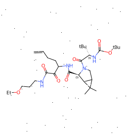 C=CCCC(NC(=O)[C@@H]1C2C(CN1C(=O)[C@@H](NC(=O)OC(C)(C)C)C(C)(C)C)C2(C)C)C(=O)C(=O)NCCCOCC